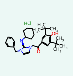 CC(C)(C)c1cc(C(=O)Cn2ccn(Cc3ccccc3)c2=NC2CCCCC2)cc(C(C)(C)C)c1O.Cl